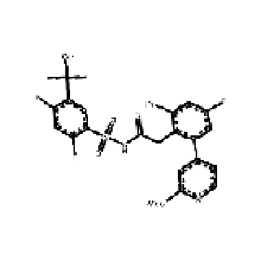 COc1cc(-c2cc(F)cc(C(C)C)c2CC(=O)NS(=O)(=O)c2cc(C(C)(C)O)c(F)cc2F)ccn1